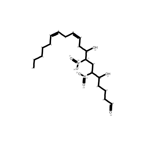 CCCCC/C=C\C/C=C\CC(O)C(CC(C(O)CCC[C]=O)[N+](=O)[O-])[N+](=O)[O-]